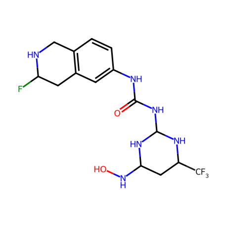 O=C(Nc1ccc2c(c1)CC(F)NC2)NC1NC(NO)CC(C(F)(F)F)N1